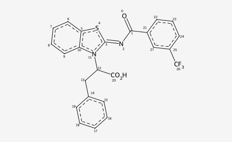 O=C(N=c1sc2ccccc2n1C(Cc1ccccc1)C(=O)O)c1cccc(C(F)(F)F)c1